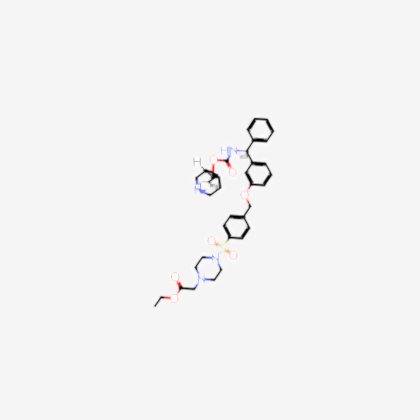 CCOC(=O)CN1CCN(S(=O)(=O)c2ccc(COc3cccc([C@@H](NC(=O)O[C@H]4CN5CCC4CC5)c4ccccc4)c3)cc2)CC1